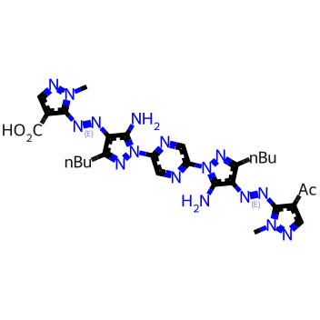 CCCCc1nn(-c2cnc(-n3nc(CCCC)c(/N=N/c4c(C(=O)O)cnn4C)c3N)cn2)c(N)c1/N=N/c1c(C(C)=O)cnn1C